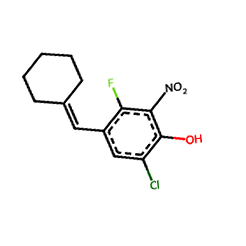 O=[N+]([O-])c1c(O)c(Cl)cc(C=C2CCCCC2)c1F